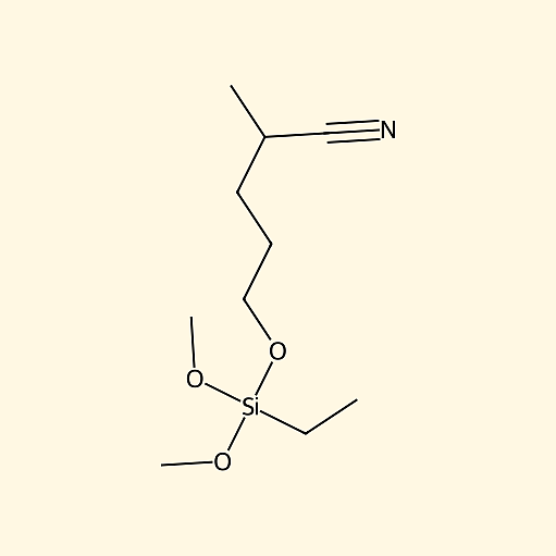 CC[Si](OC)(OC)OCCCC(C)C#N